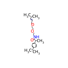 CC(C)/C=C/COCCOCCNC(=O)C(C)c1ccc(C(C)C)cc1